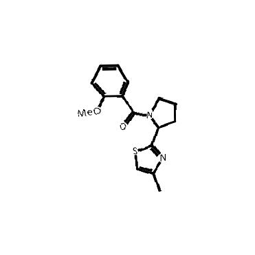 COc1ccccc1C(=O)N1CCCC1c1nc(C)cs1